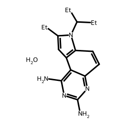 CCc1cc2c3c(N)nc(N)nc3ccc2n1C(CC)CC.O